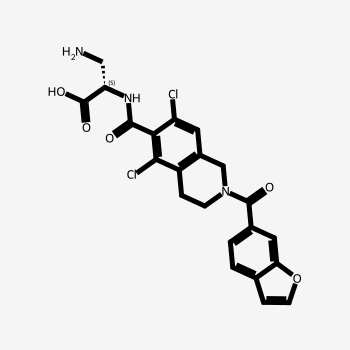 NC[C@H](NC(=O)c1c(Cl)cc2c(c1Cl)CCN(C(=O)c1ccc3ccoc3c1)C2)C(=O)O